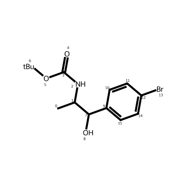 CC(NC(=O)OC(C)(C)C)C(O)c1ccc(Br)cc1